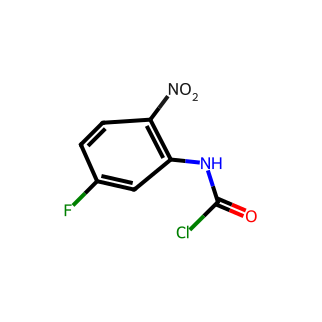 O=C(Cl)Nc1cc(F)ccc1[N+](=O)[O-]